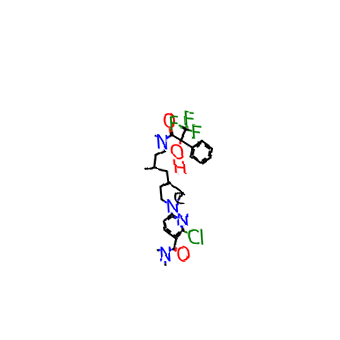 CC(CCN(C)C(=O)C(O)(c1ccccc1)C(F)(F)F)CC1CCN(c2ccc(C(=O)N(C)C)c(Cl)n2)CC1